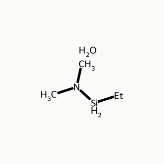 CC[SiH2]N(C)C.O